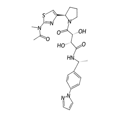 CC(=O)N(C)c1nc([C@H]2CCCN2C(=O)[C@H](O)[C@@H](O)C(=O)N[C@H](C)c2ccc(-n3cccn3)cc2)cs1